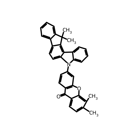 Cc1ccc2c(=O)c3ccc(-n4c5ccccc5c5c6c(ccc54)-c4ccccc4C6(C)C)cc3oc2c1C